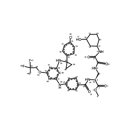 COC(=O)[C@H](CNC(=O)C(=O)NC1CCCC(O)C1)NC(=O)c1ccc(Nc2nc(NC3(c4ccc(Cl)cc4)CC3)nc(OCC(F)(F)F)n2)cc1